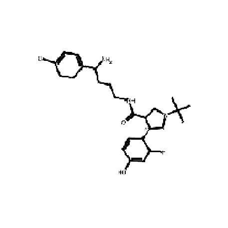 CC(C)(C)N1CC(C(=O)NCCCC(N)C2=CC=C(Cl)CC2)[C@H](C2C=CC(O)=CC2F)C1